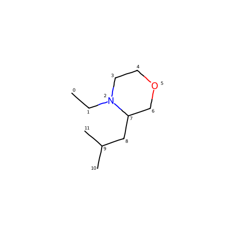 CCN1CCOCC1CC(C)C